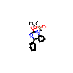 CS(=O)(=O)CN1C(=O)CN=C(c2ccccc2)c2ccccc21